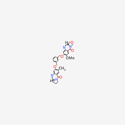 COc1cc2c(cc1OCc1cccc(COc3cc4c(cc3C)C(=O)N3CCC[C@H]3C=N4)c1)N=C[C@@H]1COCN1C2=O